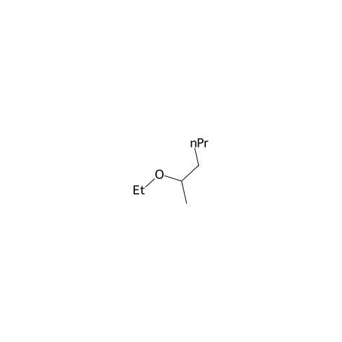 C[CH]CCC(C)OCC